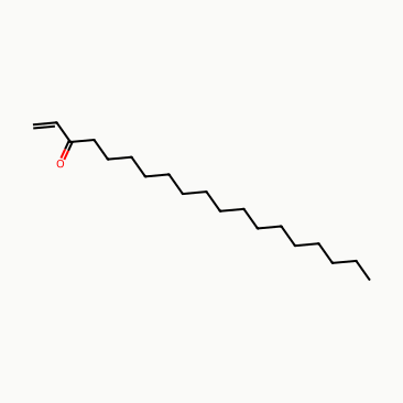 C=CC(=O)CCCCCCCCCCCCCCCC